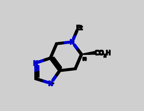 CCN1CC2=C(C[C@H]1C(=O)O)[N]C=N2